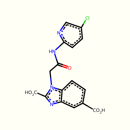 O=C(Cn1c(C(=O)O)nc2cc(C(=O)O)ccc21)Nc1ccc(Cl)cn1